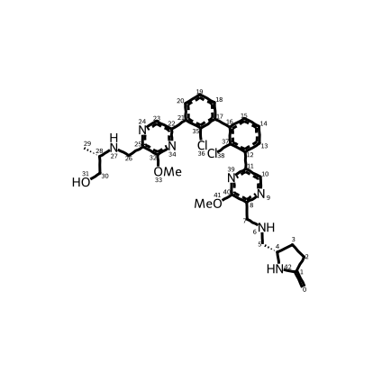 C=C1CC[C@@H](CNCc2ncc(-c3cccc(-c4cccc(-c5cnc(CN[C@@H](C)CO)c(OC)n5)c4Cl)c3Cl)nc2OC)N1